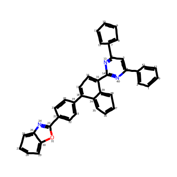 c1ccc(-c2cc(-c3ccccc3)nc(-c3ccc(-c4ccc(-c5nc6ccccc6o5)cc4)c4ccccc34)n2)cc1